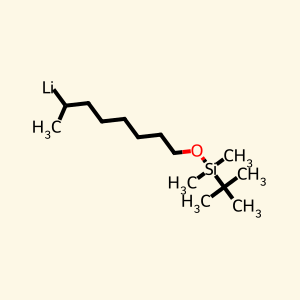 [Li][CH](C)CCCCCCO[Si](C)(C)C(C)(C)C